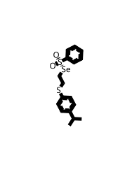 CC(C)c1ccc(SCC[Se]S(=O)(=O)c2ccccc2)cc1